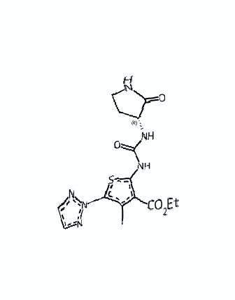 CCOC(=O)c1c(NC(=O)N[C@@H]2CCNC2=O)sc(-n2nccn2)c1C